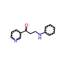 O=C(CCNc1ccccc1)c1cccnc1